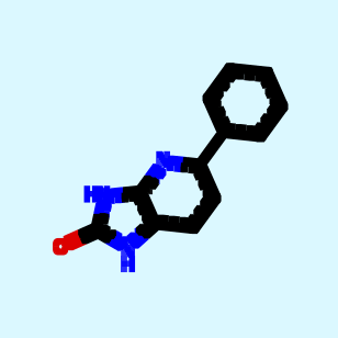 O=c1[nH]c2ccc(-c3ccccc3)nc2[nH]1